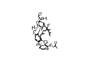 CC(=O)COc1ncccc1Oc1cc(N(N)/C(=C\C(=O)NC=O)C(F)(F)F)c(F)cc1Br